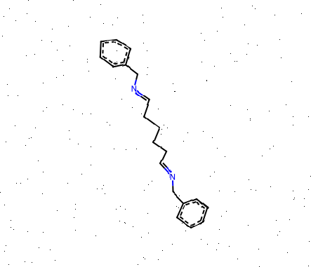 C(CCCCC=NCc1ccccc1)=NCc1ccccc1